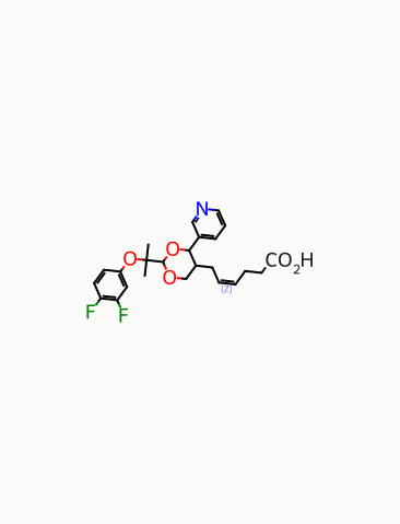 CC(C)(Oc1ccc(F)c(F)c1)C1OCC(C/C=C\CCC(=O)O)C(c2cccnc2)O1